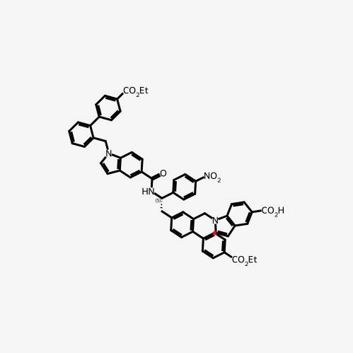 CCOC(=O)c1ccc(-c2ccccc2Cn2ccc3cc(C(=O)N[C@@H](Cc4ccc(-c5ccc(C(=O)OCC)cc5)c(Cn5ccc6cc(C(=O)O)ccc65)c4)c4ccc([N+](=O)[O-])cc4)ccc32)cc1